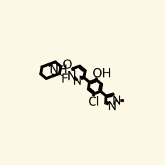 Cn1cc(-c2cc(O)c(-c3ccc(O[C@H]4CC5CCCC(N5)[C@H]4F)nn3)cc2Cl)cn1